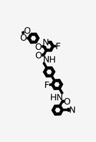 N#Cc1ccccc1C(=O)NCc1ccc(-c2ccc(CNC(=O)c3cc(F)cnc3Oc3ccc4c(c3)OCO4)cc2)c(F)c1